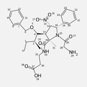 CC[C@H](C)C(OCc1ccccc1)[C@H]1[C@H]([N+](=O)[O-])[C@H](c2ccccc2)N(C(=O)CN)[C@@]1(C)C(=O)NCCC(=O)O